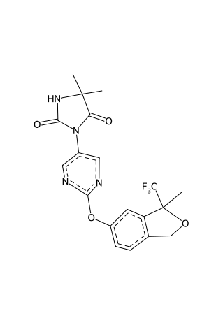 CC1(C)NC(=O)N(c2cnc(Oc3ccc4c(c3)C(C)(C(F)(F)F)OC4)nc2)C1=O